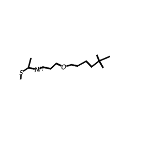 CSC(C)NCCCOCCCCC(C)(C)C